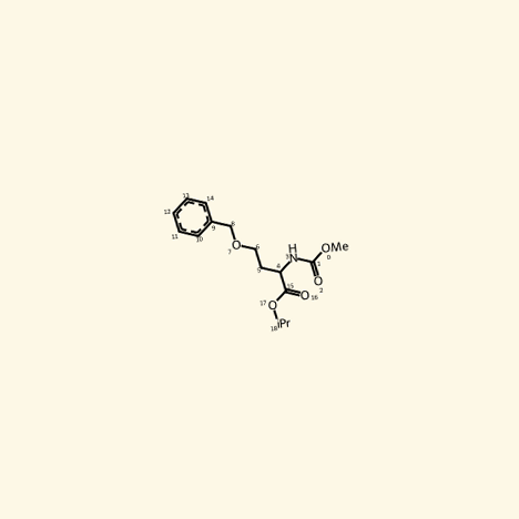 COC(=O)NC(CCOCc1ccccc1)C(=O)OC(C)C